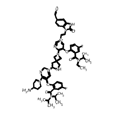 CCN(C(=O)c1cc(F)ccc1Oc1c[n+](CCn2c(=O)[nH]c3cc(C=O)ccc32)cnc1N1CC2(CNC([n+]3cnc(N4CCC(N)CC4)c(Oc4ccc(F)cc4C(=O)N(C(C)C)C(C)C)c3)C2)C1)C(C)C